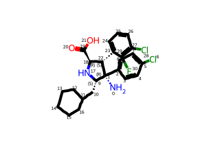 N[C@]1(c2ccc(Cl)cc2)[C@H](CC2CCCCC2)N[C@@H](C(=O)O)[C@@H]1c1cccc(Cl)c1F